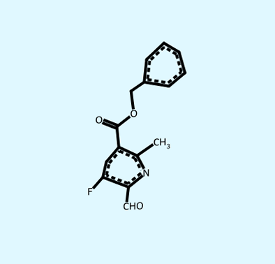 Cc1nc(C=O)c(F)cc1C(=O)OCc1ccccc1